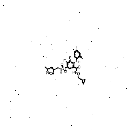 Cc1cc(CNS(=O)(=O)c2cc(C(=O)NOCC3CC3)c(Nc3ccc(I)cc3C)c(F)c2F)ccn1